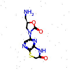 NC[C@@H]1CN(c2cnc3c(n2)NC(=O)CS3)C(=O)O1